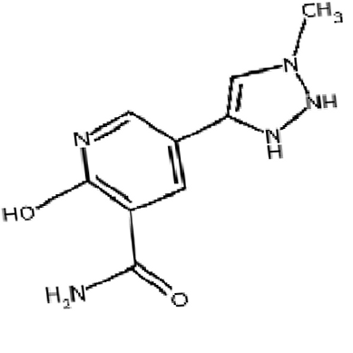 CN1C=C(c2cnc(O)c(C(N)=O)c2)NN1